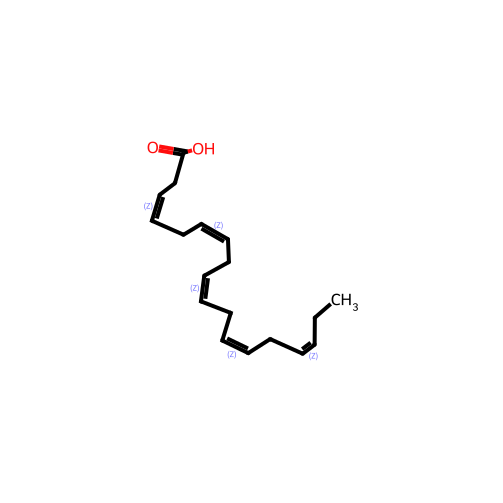 CC/C=C\C/C=C\C/C=C\C/C=C\C/C=C\CC(=O)O